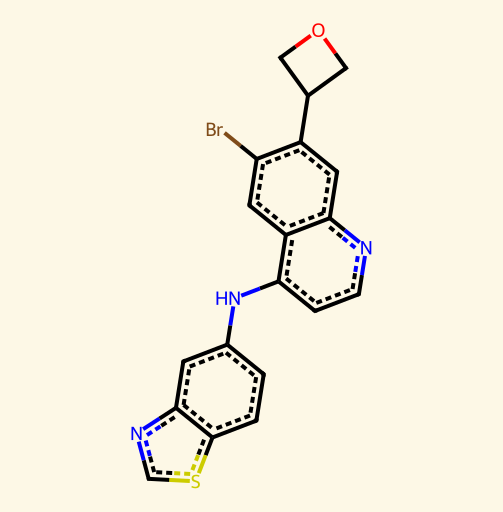 Brc1cc2c(Nc3ccc4scnc4c3)ccnc2cc1C1COC1